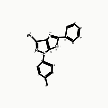 Cc1ccc(-n2nc(C(C)C)c3nc(-c4ccccc4)[nH]c32)cc1